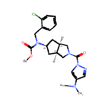 CC(=O)N(C)c1cnn(C(=O)N2C[C@H]3C[C@@H](N(Cc4ccccc4Cl)C(=O)OC(C)(C)C)C[C@H]3C2)c1